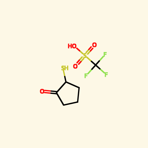 O=C1CCCC1S.O=S(=O)(O)C(F)(F)F